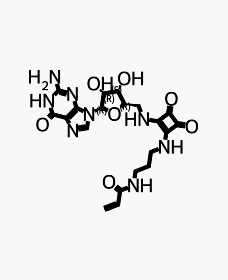 C=CC(=O)NCCCNc1c(NC[C@H]2O[C@@H](n3cnc4c(=O)[nH]c(N)nc43)[C@H](O)[C@@H]2O)c(=O)c1=O